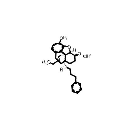 CCN1CC[C@]23c4c5ccc(O)c4O[C@H]2C(=O)CC[C@@]3(OCCCc2ccccc2)[C@H]1C5.Cl